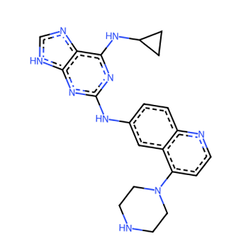 c1cc(N2CCNCC2)c2cc(Nc3nc(NC4CC4)c4nc[nH]c4n3)ccc2n1